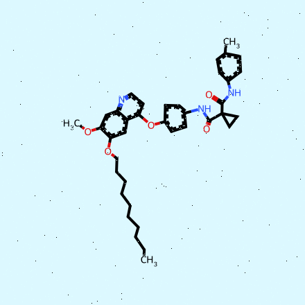 CCCCCCCCCCOc1cc2c(Oc3ccc(NC(=O)C4(C(=O)Nc5ccc(C)cc5)CC4)cc3)ccnc2cc1OC